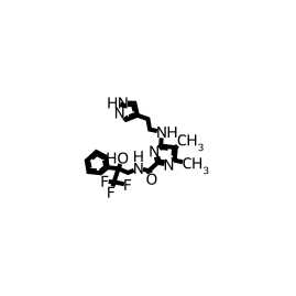 Cc1nc(C(=O)NCC(O)(c2ccccc2)C(F)(F)F)nc(NCCc2cn[nH]c2)c1C